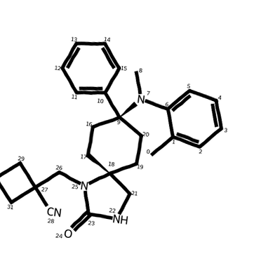 Cc1ccccc1N(C)[C@]1(c2ccccc2)CC[C@@]2(CC1)CNC(=O)N2CC1(C#N)CCC1